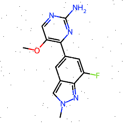 COc1cnc(N)nc1-c1cc(F)c2nn(C)cc2c1